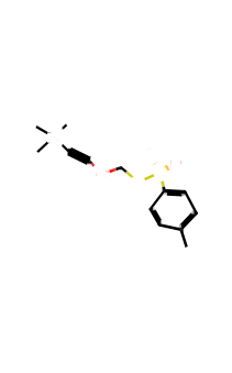 Cc1ccc(S(=O)(=O)SCOC#C[Si](C)(C)C)cc1